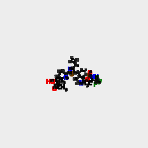 CC(NS(=O)(=O)c1ccc(-c2sc(-c3cccc(CC(C)(C)C(=O)O)n3)nc2CC2CCC2)c2ccncc12)C(F)(F)F